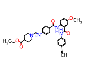 C#Cc1ccc(NC(=O)c2cc(OC)ccc2NC(=O)c2ccc(/N=C/N3CCC(C(=O)OCC)CC3)cc2)cc1